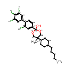 CCCCCC1CCC(C2(C)COC(O)(c3ccc(-c4cc(F)c(F)c(F)c4)c(F)c3)OC2)CC1